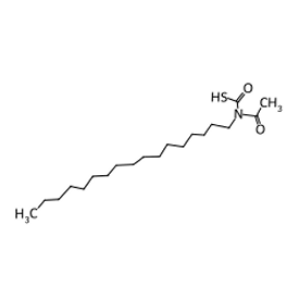 CCCCCCCCCCCCCCCCCN(C(C)=O)C(=O)S